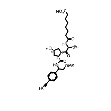 C#Cc1ccc(C(COC)NC(=O)[C@@H]2C[C@@H](O)CN2C(=O)C(NC(=O)CCCCCCC(=O)O)C(C)(C)C)cc1